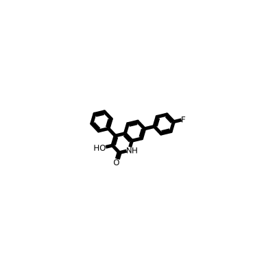 O=c1[nH]c2cc(-c3ccc(F)cc3)ccc2c(-c2ccccc2)c1O